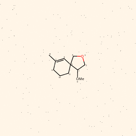 COC1COCC12C=C(C)CCC2